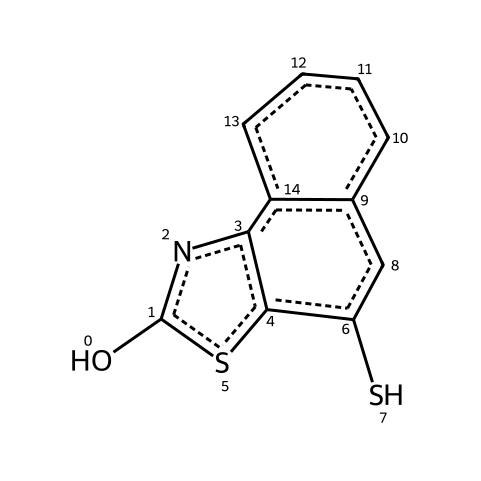 Oc1nc2c(s1)c(S)cc1ccccc12